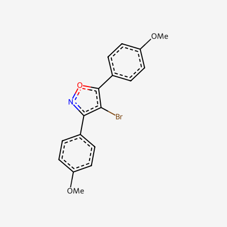 COc1ccc(-c2noc(-c3ccc(OC)cc3)c2Br)cc1